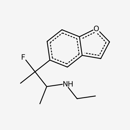 CCNC(C)C(C)(F)c1ccc2occc2c1